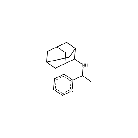 CC(NC1C2CC3CC(C2)CC1C3)c1ccccn1